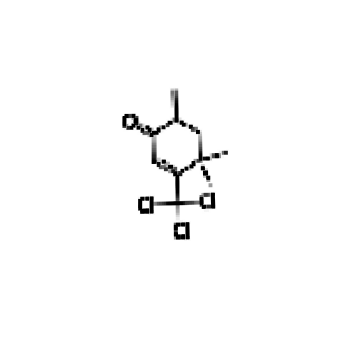 C=C1CC(C)(C)C(C(Cl)(Cl)Cl)=CC1=O